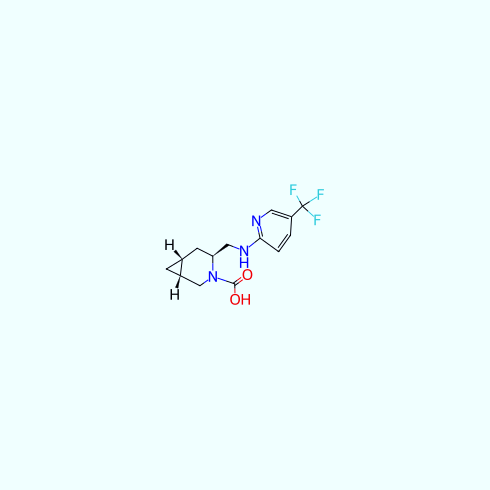 O=C(O)N1C[C@@H]2C[C@@H]2C[C@H]1CNc1ccc(C(F)(F)F)cn1